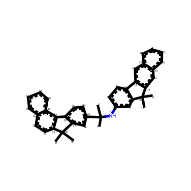 CC(C)(Nc1ccc2c(c1)C(C)(C)c1cc3ccccc3cc1-2)c1ccc2c(c1)C(C)(C)c1ccc3ccccc3c1-2